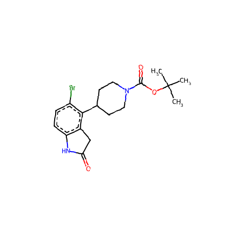 CC(C)(C)OC(=O)N1CCC(c2c(Br)ccc3c2CC(=O)N3)CC1